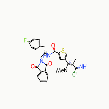 CN/C(=C(/C)C(=N)Cl)c1csc(C(=O)N[C@@H](Cc2ccc(F)cc2)CN2C(=O)c3ccccc3C2=O)c1